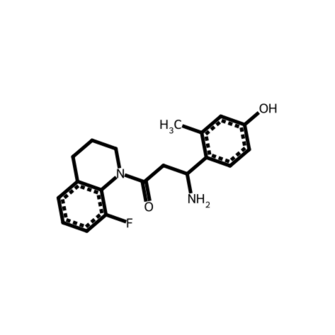 Cc1cc(O)ccc1C(N)CC(=O)N1CCCc2cccc(F)c21